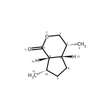 C[C@H]1COC(=O)[C@@H]2[C@H]1CC[C@@H]2C